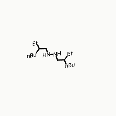 CCCCC(CC)CNNCC(CC)CCCC